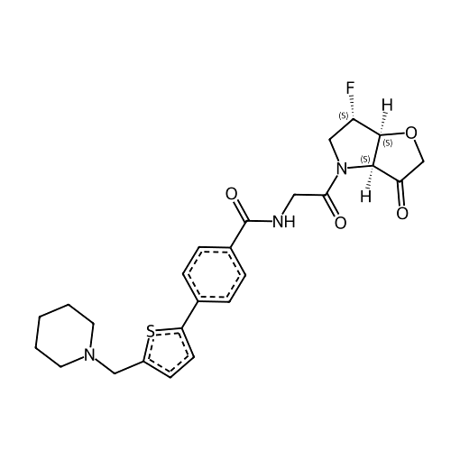 O=C(NCC(=O)N1C[C@H](F)[C@H]2OCC(=O)[C@H]21)c1ccc(-c2ccc(CN3CCCCC3)s2)cc1